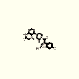 CC(C)NC[C@@H](C(=O)N1CCN(c2ncnc3c2N(C)CC(=O)N3)C[C@@H]1C)c1ccc(Cl)cc1